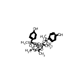 C[Si](C)(O[Si](C)(C)O[Si](C)(C)c1ccc(O)cc1)O[Si](C)(C)O[Si](C)(C)c1ccc(O)cc1